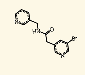 O=C(Cc1cncc(Br)c1)NCc1cccnc1